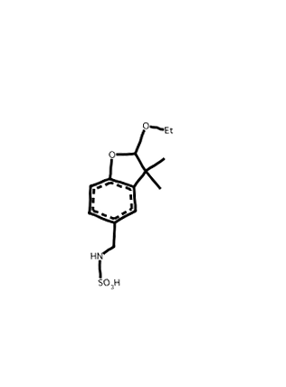 CCOC1Oc2ccc(CNS(=O)(=O)O)cc2C1(C)C